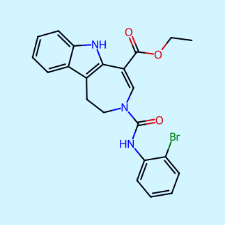 CCOC(=O)C1=CN(C(=O)Nc2ccccc2Br)CCc2c1[nH]c1ccccc21